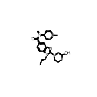 CCCn1c(N2CCCC(O)C2)nc2cc(C(=O)N(C)C3CCN(C)CC3)ccc21